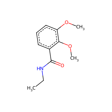 CCNC(=O)c1cccc(OC)c1OC